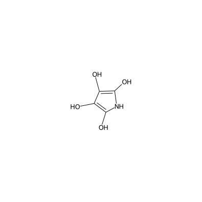 Oc1[nH]c(O)c(O)c1O